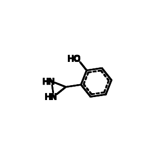 Oc1ccccc1C1NN1